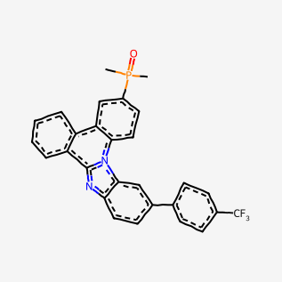 CP(C)(=O)c1ccc2c(c1)c1ccccc1c1nc3ccc(-c4ccc(C(F)(F)F)cc4)cc3n21